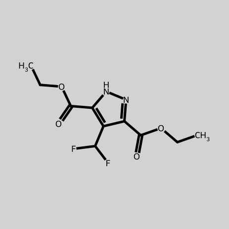 CCOC(=O)c1n[nH]c(C(=O)OCC)c1C(F)F